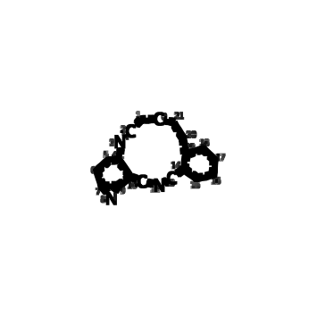 c1ccnc2ccc3nc3c2cncc2ccccc2cc1